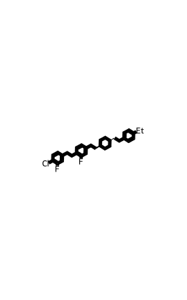 CCc1ccc(CC[C@H]2CC[C@H](CCc3ccc(CCc4ccc(Cl)c(F)c4)c(F)c3)CC2)cc1